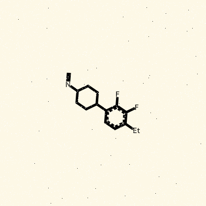 C=NC1CCC(c2ccc(CC)c(F)c2F)CC1